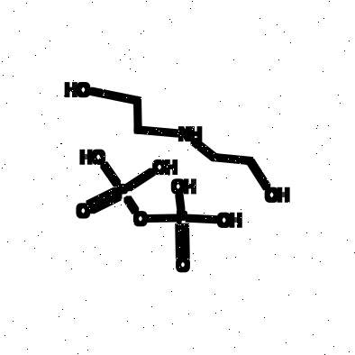 O=P(O)(O)OP(=O)(O)O.OCCNCCO